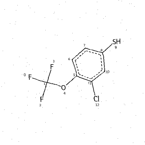 FC(F)(F)Oc1ccc(S)cc1Cl